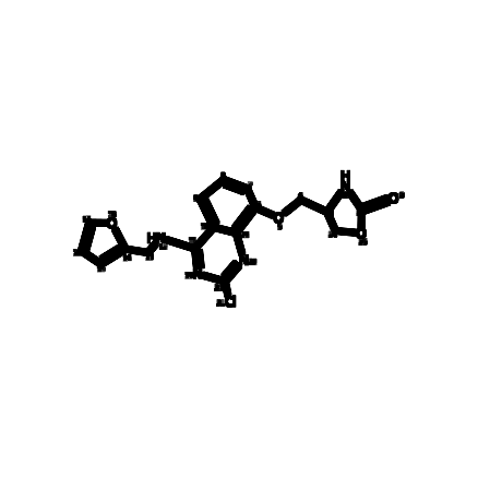 O=C1NC(COc2cccc3c(NCc4ccco4)nc(Cl)nc23)CO1